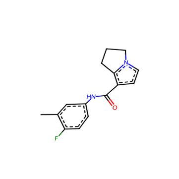 Cc1cc(NC(=O)c2ccn3c2CCC3)ccc1F